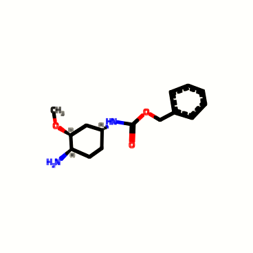 CO[C@H]1C[C@H](NC(=O)OCc2ccccc2)CC[C@H]1N